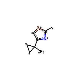 CCC1(c2csc(C)n2)CC1